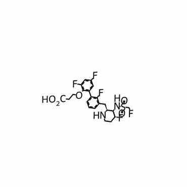 O=C(O)CCOc1c(F)cc(F)cc1-c1cccc(C[C@@H]2NCC[C@H](F)[C@@H]2NS(=O)(=O)CF)c1F